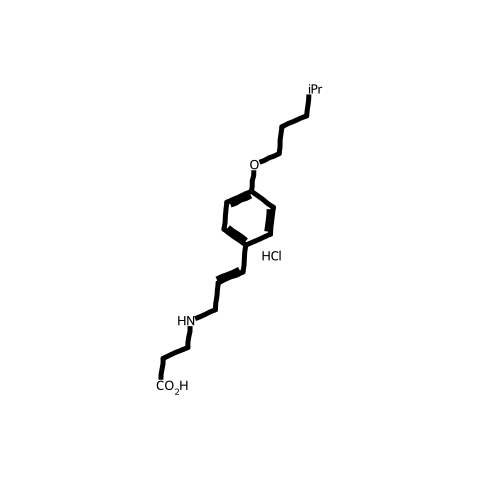 CC(C)CCCOc1ccc(/C=C/CNCCC(=O)O)cc1.Cl